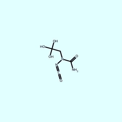 NC(=O)N(CC(O)(O)O)N=C=O